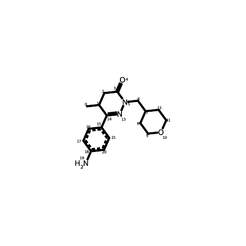 CC1CC(=O)N(CC2CCOCC2)N=C1c1ccc(N)cc1